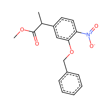 COC(=O)C(C)c1ccc([N+](=O)[O-])c(OCc2ccccc2)c1